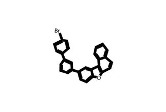 Brc1ccc(-c2cccc(-c3ccc4oc5ccc6ccccc6c5c4c3)c2)cc1